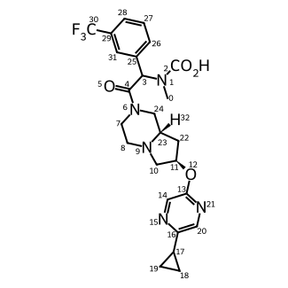 CN(C(=O)O)C(C(=O)N1CCN2C[C@H](Oc3cnc(C4CC4)cn3)C[C@H]2C1)c1cccc(C(F)(F)F)c1